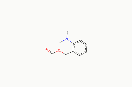 CN(C)c1ccccc1CO[C]=O